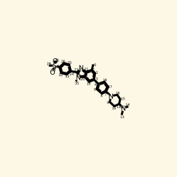 Cc1cc(-c2ccc(N3CCC(N(C)C)CC3)cc2)cc2c1nc(-c1ccc(S(C)(=O)=O)cc1)n2C